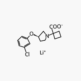 O=C([O-])C1(N2CC[C@@H](Oc3cccc(Cl)c3)C2)CCC1.[Li+]